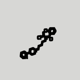 O=C1c2ccccc2OC=C(Cl)N1CCCCCN1CC=C(c2ccccn2)CC1